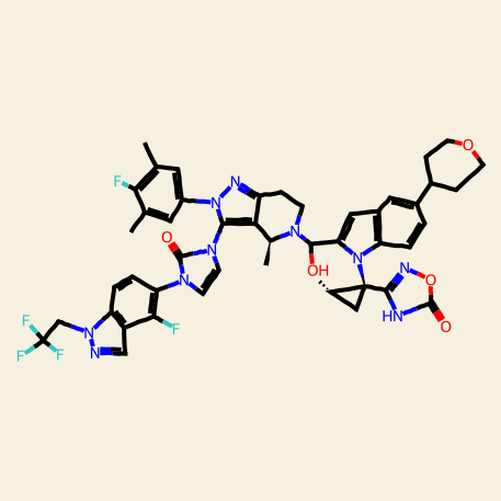 Cc1cc(-n2nc3c(c2-n2ccn(-c4ccc5c(cnn5CC(F)(F)F)c4F)c2=O)[C@H](C)N(C(O)c2cc4cc(C5CCOCC5)ccc4n2[C@@]2(c4noc(=O)[nH]4)C[C@@H]2C)CC3)cc(C)c1F